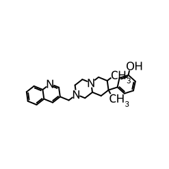 CC1CN2CCN(Cc3cnc4ccccc4c3)CC2CC1(C)c1cccc(O)c1